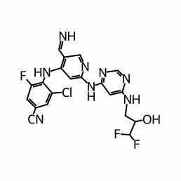 N#Cc1cc(F)c(Nc2cc(Nc3cc(NCC(O)C(F)F)ncn3)ncc2C=N)c(Cl)c1